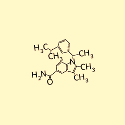 Cc1c(C)n(C(C)c2cccc(C(C)C)c2)c2ccc(C(N)=O)cc12